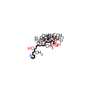 CCC[C@H](CC(C)(C)[C@H](O[Si](C)(C)C(C)(C)C)C(=O)C(=O)O)[C@@H](O[Si](C)(C)C(C)(C)C)[C@@H](C)CCC/C(C)=C\C[C@H](O)/C(C)=C/c1ccccn1